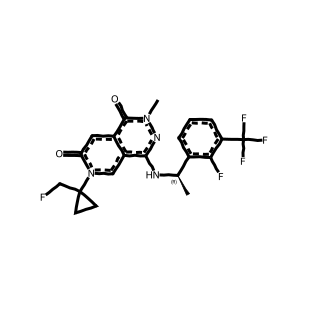 C[C@@H](Nc1nn(C)c(=O)c2cc(=O)n(C3(CF)CC3)cc12)c1cccc(C(F)(F)F)c1F